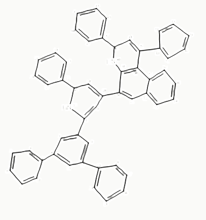 C1=C(c2cc(-c3ccccc3)cc(-c3ccccc3)c2)NC(c2ccccc2)C=C1c1cc2ccccc2c2c1NC(c1ccccc1)C=C2c1ccccc1